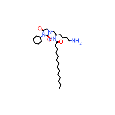 CCCCCCCCCCCCCC(=O)N[C@@H](CCCCN)CN1CC(=O)N(C2CCCCC2)C1=O